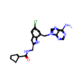 Nc1ncnc2c1ncn2Cc1cc(Cl)cc2cc(CNC(=O)C3CCCC3)[nH]c12